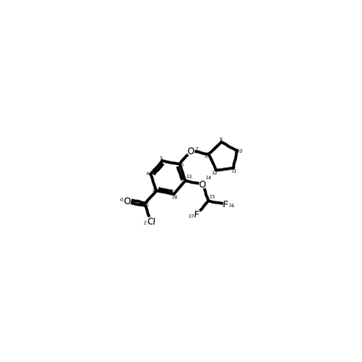 O=C(Cl)c1ccc(OC2CCCC2)c(OC(F)F)c1